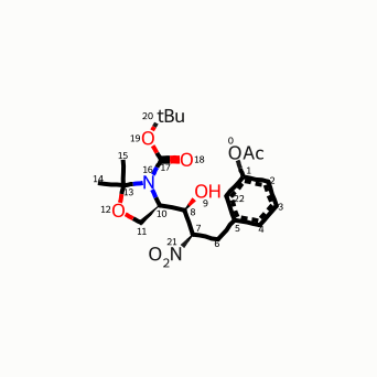 CC(=O)Oc1cccc(C[C@H]([C@H](O)[C@H]2COC(C)(C)N2C(=O)OC(C)(C)C)[N+](=O)[O-])c1